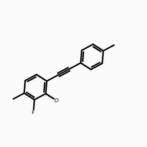 Cc1ccc(C#Cc2ccc(C)c(F)c2Cl)cc1